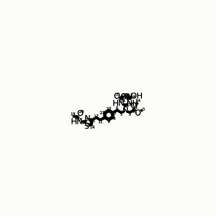 COC(CN(CCc1ccc(CCc2csc(NC(C)=O)n2)cc1)C(NC(=O)O)NC(=O)O)OC